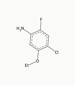 CCOc1cc(N)c(F)cc1Cl